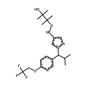 CC(C)C(c1ccc(OCC(F)(F)F)nc1)n1cc(BOC(C)(C)C(C)(C)O)cn1